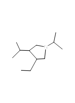 CCC1CN(C(C)C)CC1C(C)C